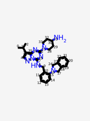 CC(C)c1cnn2c(NCc3ccccc3N3Cc4ccccc4C3)nc(N3CCC(N)CC3)nc12